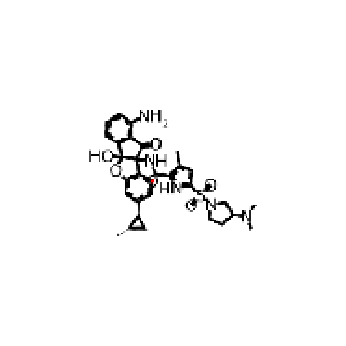 Cc1cc(S(=O)(=O)N2CC[C@H](N(C)C)C2)[nH]c1C(=O)NC12C(=O)c3c(N)cccc3C1(O)Oc1cc([C@H]3C[C@@H]3C)ccc12